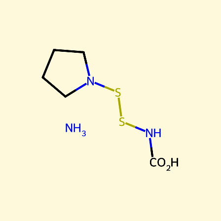 N.O=C(O)NSSN1CCCC1